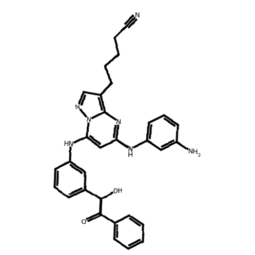 N#CCCCCc1cnn2c(Nc3cccc(C(O)C(=O)c4ccccc4)c3)cc(Nc3cccc(N)c3)nc12